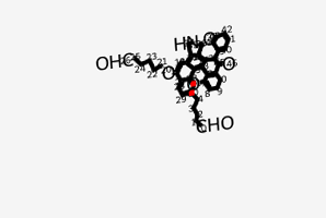 O=CCCCCCOC1=CCCC2=C1c1c(c3c(c4cc(OCCCCCC=O)c5ccccc5c14)CNC3=O)C(c1ccccc1)C2=O